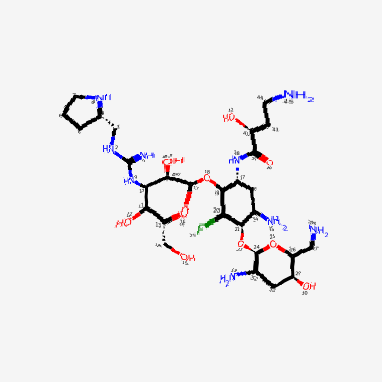 N=C(NC[C@@H]1CCCN1)NC1C(O)[C@@H](CO)OC(OC2C(F)[C@H](O[C@H]3OC(CN)[C@@H](O)CC3N)C(N)C[C@H]2NC(=O)[C@@H](O)CCN)[C@@H]1O